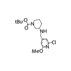 COc1cc(CN[C@H]2CCCN(C(=O)OC(C)(C)C)C2)cc(Cl)n1